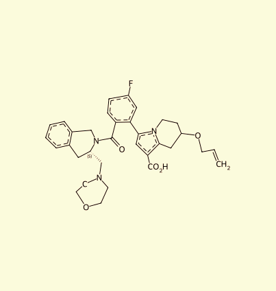 C=CCOC1CCn2c(-c3cc(F)ccc3C(=O)N3Cc4ccccc4C[C@H]3CN3CCOCC3)cc(C(=O)O)c2C1